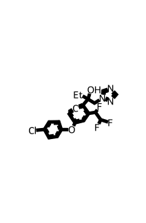 CCC(O)(Cn1cncn1)c1ccc(Oc2ccc(Cl)cc2)cc1C(F)C(F)F